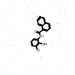 O=C(Nc1cccc(Cl)c1O)c1cccc2ccccc12